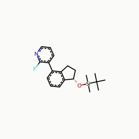 CC(C)(C)[Si](C)(C)O[C@H]1CCc2c(-c3cccnc3F)cccc21